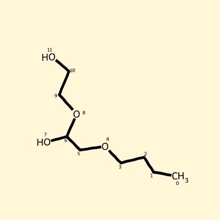 CCCCOCC(O)OCCO